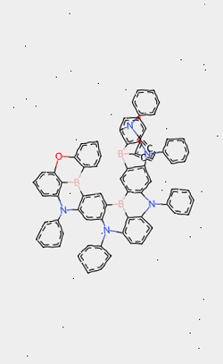 c1ccc(N2c3cc4c(cc3B3c5ccccc5Oc5cccc2c53)B2c3cc5c(cc3N(c3ccccc3)c3cccc(c32)N4c2ccccc2)N(c2ccccc2)c2cccc3c2B5c2ccccc2N3c2ccccc2)cc1